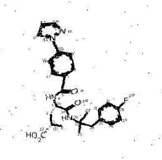 C[C@@H](C[C@H](NC(=O)c1ccc(-n2cccn2)cc1)C(=O)NC(C)(C)Cc1ccc(F)cc1)C(=O)O